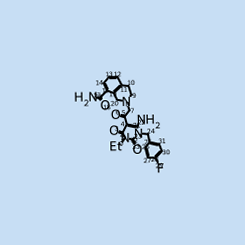 CCn1c(=O)c(C(=O)CN2CCc3cccc(C(N)=O)c3C2)c(N)n(Cc2ccc(F)cc2)c1=O